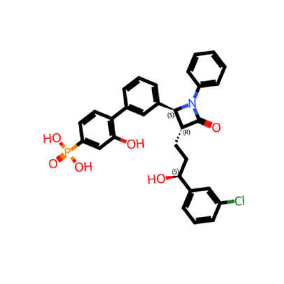 O=C1[C@H](CC[C@H](O)c2cccc(Cl)c2)[C@@H](c2cccc(-c3ccc(P(=O)(O)O)cc3O)c2)N1c1ccccc1